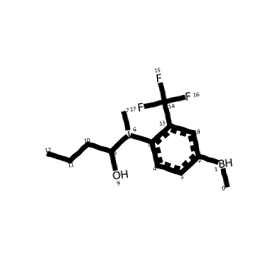 CBc1ccc(I(C)C(O)CCC)c(C(F)(F)F)c1